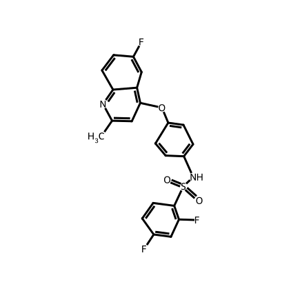 Cc1cc(Oc2ccc(NS(=O)(=O)c3ccc(F)cc3F)cc2)c2cc(F)ccc2n1